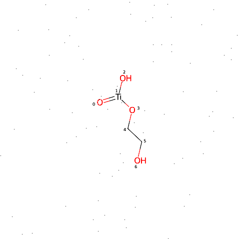 [O]=[Ti]([OH])[O]CCO